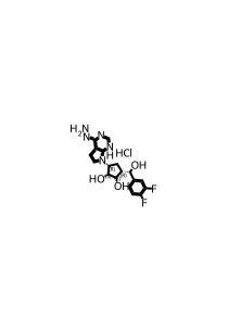 Cl.NN=c1nc[nH]c2c1ccn2[C@@H]1C[C@H](C(O)c2ccc(F)c(F)c2)[C@@H](O)[C@H]1O